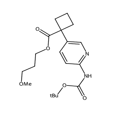 COCCCOC(=O)C1(c2ccc(NC(=O)OC(C)(C)C)nc2)CCC1